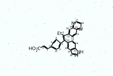 CCC(=C(c1ccc(C=CC(=O)O)cc1)c1ccc2[nH]ncc2c1)c1ccc2nccnc2c1